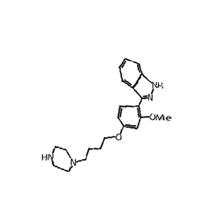 COc1cc(OCCCCN2CCNCC2)ccc1-c1n[nH]c2ccccc12